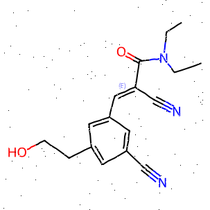 CCN(CC)C(=O)/C(C#N)=C/c1cc(C#N)cc(CCO)c1